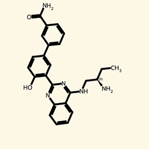 CC[C@@H](N)CNc1nc(-c2cc(-c3cccc(C(N)=O)c3)ccc2O)nc2ccccc12